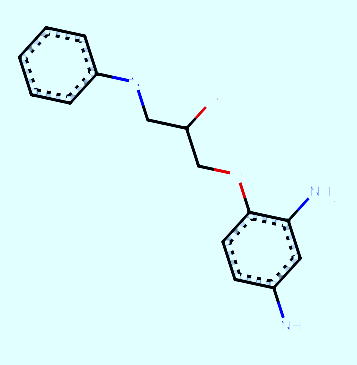 Nc1ccc(OCC(O)CNc2ccccc2)c(N)c1